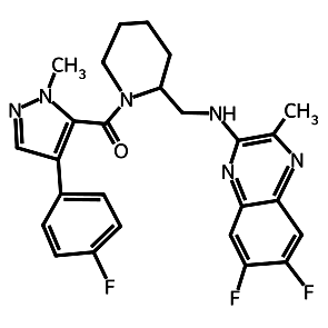 Cc1nc2cc(F)c(F)cc2nc1NCC1CCCCN1C(=O)c1c(-c2ccc(F)cc2)cnn1C